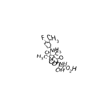 Cc1cc(NC(=O)c2c(C)c(C(=O)C(=O)NC(CO)C(=O)O)n(C)c2C)ccc1F